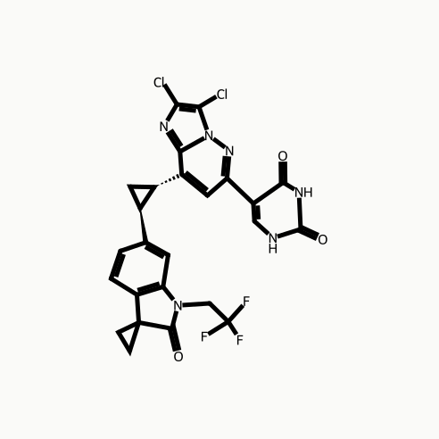 O=C1N(CC(F)(F)F)c2cc([C@H]3C[C@@H]3c3cc(-c4c[nH]c(=O)[nH]c4=O)nn4c(Cl)c(Cl)nc34)ccc2C12CC2